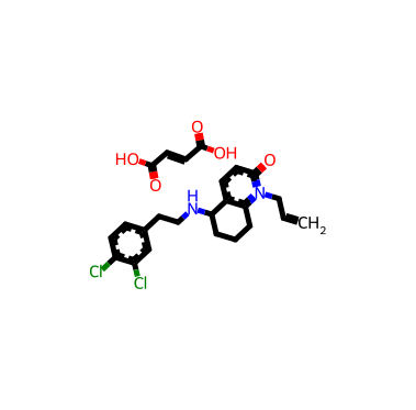 C=CCn1c2c(ccc1=O)C(NCCc1ccc(Cl)c(Cl)c1)CCC2.O=C(O)/C=C/C(=O)O